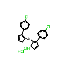 Cl.Cl.Clc1ccc(C2=[C]([Zr][C]3=C(c4ccc(Cl)cc4)C=CC3)CC=C2)cc1